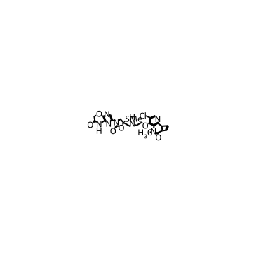 CS[C@]1(CNCCOc2c(Cl)cnc3c2N(C)C(=O)C2C#CC32)CN(c2cnc3c(n2)NC(=O)CO3)C(=O)O1